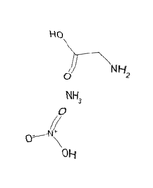 N.NCC(=O)O.O=[N+]([O-])O